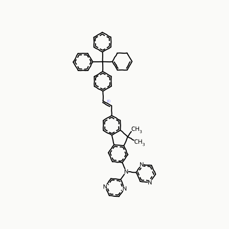 CC1(C)c2cc(/C=C/c3ccc(C(C4=CC=CCC4)(c4ccccc4)c4ccccc4)cc3)ccc2-c2ccc(N(c3cnccn3)c3cnccn3)cc21